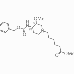 COC(=O)CCCCCN1CC[C@@H](NC(=O)OCc2ccccc2)[C@@H](OC)C1